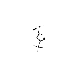 CC(C)(C)c1csc(S(=O)(=O)[O-])c1.[Na+]